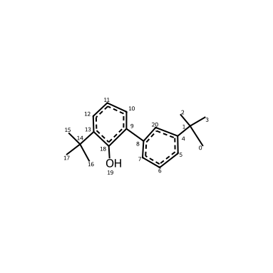 CC(C)(C)c1cccc(-c2cccc(C(C)(C)C)c2O)c1